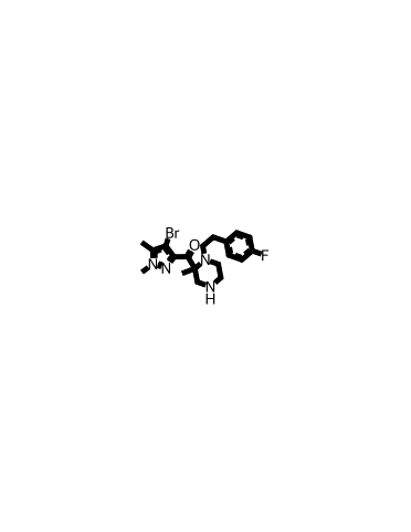 Cc1c(Br)c(C(=O)C2(C)CNCCN2CCc2ccc(F)cc2)nn1C